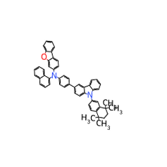 CC1(C)CCC(C)(C)c2cc(-n3c4ccccc4c4cc(-c5ccc(N(c6ccc7c(c6)oc6ccccc67)c6cccc7ccccc67)cc5)ccc43)ccc21